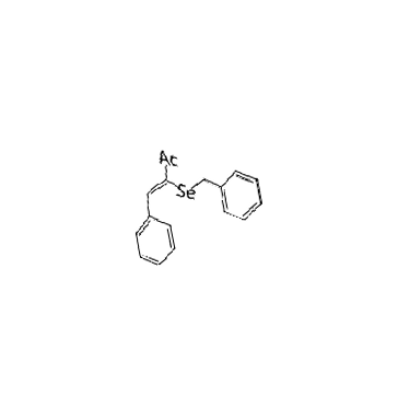 CC(=O)C(=Cc1ccccc1)[Se]Cc1ccccc1